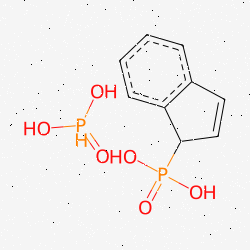 O=P(O)(O)C1C=Cc2ccccc21.O=[PH](O)O